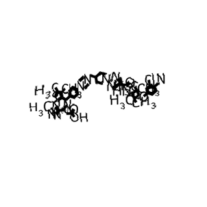 Cc1sc2c(c1C)C(c1ccc(N3CCN(CC4CCN(c5ncc(C(=O)NC6C(C)(C)C(Oc7ccc(C#N)c(Cl)c7)C6(C)C)cn5)CC4)CC3)cc1)=N[C@@H](CC(=O)O)c1nnc(C)n1-2